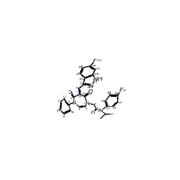 CC(C)N(C(=O)CN1C=CN(c2ccccc2)C(=O)/C(=C/c2n[nH]c3cc(F)ccc23)C1=O)c1ccc(F)cc1